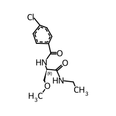 CCNC(=O)[C@@H](COC)NC(=O)c1ccc(Cl)cc1